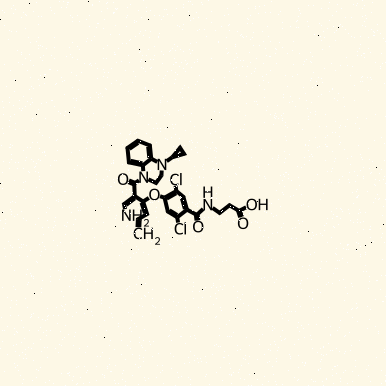 C=C/C=C(Oc1cc(Cl)c(C(=O)NCCC(=O)O)cc1Cl)\C(=C/N)C(=O)N1CCN(C2CC2)c2ccccc21